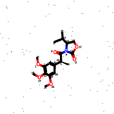 COc1cc([C@H](C)C(=O)N2C(=O)OCC2C(C)C)cc(OC)c1OC